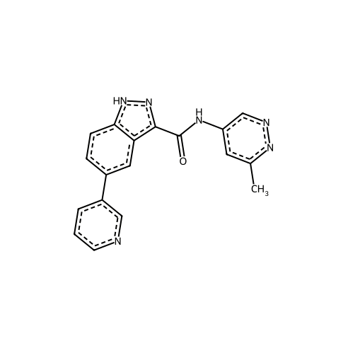 Cc1cc(NC(=O)c2n[nH]c3ccc(-c4cccnc4)cc23)cnn1